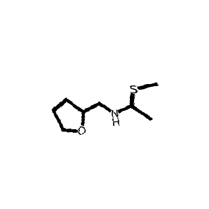 CSC(C)NCC1CCCO1